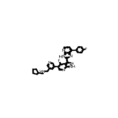 Fc1ccc(-c2ccnc3[nH]c(-c4n[nH]c5ncc(-c6cncc(CNCC7CCCC7)c6)c(F)c45)nc23)cc1